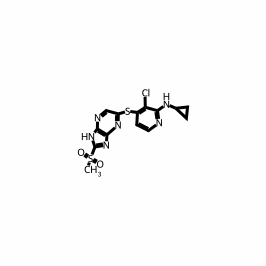 CS(=O)(=O)c1nc2nc(Sc3ccnc(NC4CC4)c3Cl)cnc2[nH]1